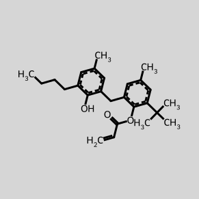 C=CC(=O)Oc1c(Cc2cc(C)cc(CCCC)c2O)cc(C)cc1C(C)(C)C